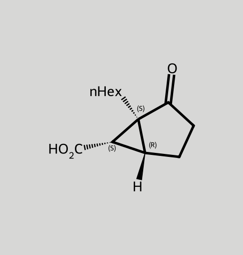 CCCCCC[C@]12C(=O)CC[C@@H]1[C@@H]2C(=O)O